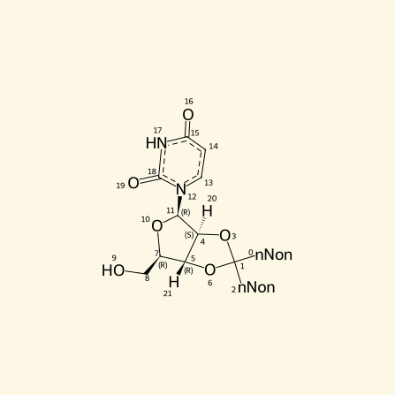 CCCCCCCCCC1(CCCCCCCCC)O[C@H]2[C@H](O1)[C@@H](CO)O[C@H]2n1ccc(=O)[nH]c1=O